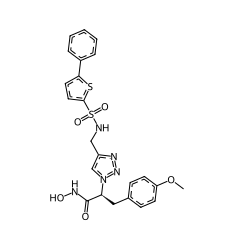 COc1ccc(C[C@@H](C(=O)NO)n2cc(CNS(=O)(=O)c3ccc(-c4ccccc4)s3)nn2)cc1